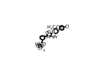 CC(C)[C@@H](NC(=O)c1cccc(C(=O)NS(=O)(=O)C(F)(F)F)c1)C(=O)N1CC[C@H](c2ccc(Cl)cc2)C(C)(C)C1